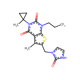 Cc1c(Cn2cc[nH]c2=O)sc2c1c(=O)n(C1(C)CC1)c(=O)n2CCC(F)(F)F